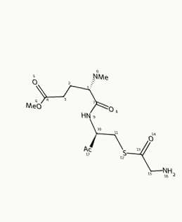 CN[C@@H](CCC(=O)OC)C(=O)N[C@@H](CSC(=O)CN)C(C)=O